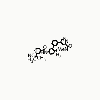 CNC(=O)c1cc(-c2cccc(-c3cc(NC(=O)c4ccnc(C(C)(C)C#N)c4)ccc3C)c2)cnn1